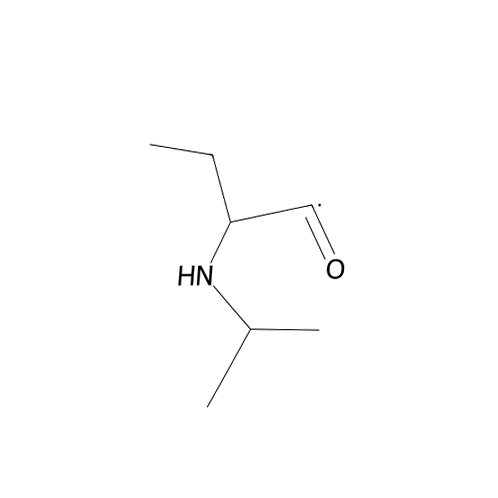 CCC([C]=O)NC(C)C